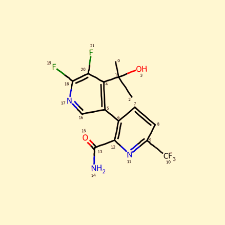 CC(C)(O)c1c(-c2ccc(C(F)(F)F)nc2C(N)=O)cnc(F)c1F